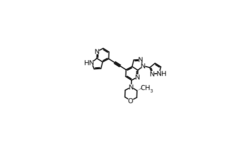 C[C@@H]1COCCN1c1cc(C#Cc2ccnc3[nH]ccc23)c2cnn(-c3cc[nH]n3)c2n1